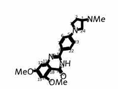 CNC1CCN(c2ccc(-c3nc4cc(OC)cc(OC)c4c(=O)[nH]3)cc2)C1